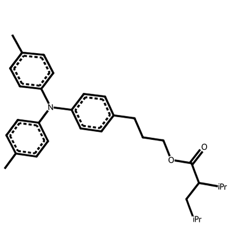 Cc1ccc(N(c2ccc(C)cc2)c2ccc(CCCOC(=O)C(CC(C)C)C(C)C)cc2)cc1